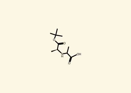 CC(N[C@@H](C)C(=O)OC(C)(C)C)C(=O)O